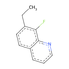 CCc1ccc2cccnc2c1F